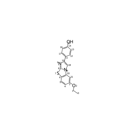 CCOc1ccc2sc3nc(-c4ccc(O)cc4)cn3c2c1